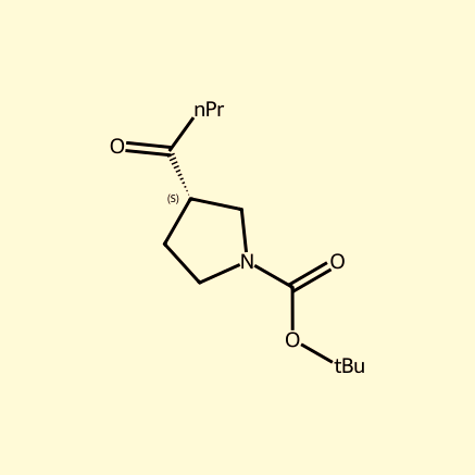 CCCC(=O)[C@H]1CCN(C(=O)OC(C)(C)C)C1